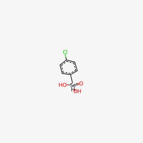 O=[SeH](O)(O)c1ccc(Cl)cc1